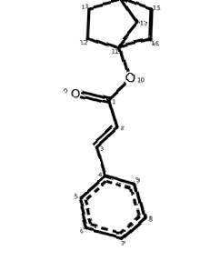 O=C(C=Cc1ccccc1)OC12CCC(CC1)C2